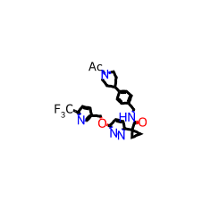 CC(=O)N1CCC(c2ccc(CNC(=O)C3(c4ccc(OCc5ccc(C(F)(F)F)nc5)nn4)CC3)cc2)CC1